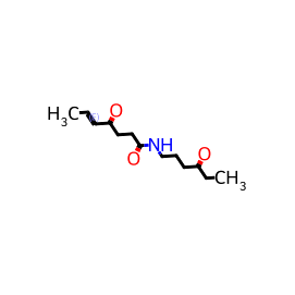 C/C=C/C(=O)CCC(=O)NCCCC(=O)CC